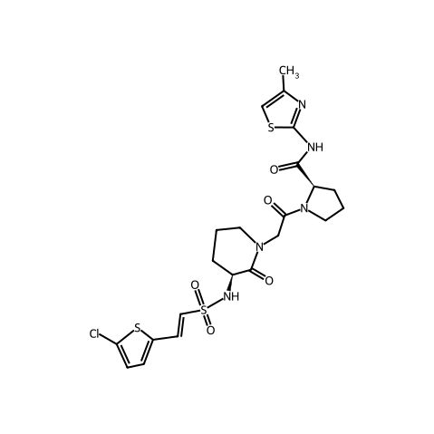 Cc1csc(NC(=O)[C@H]2CCCN2C(=O)CN2CCC[C@H](NS(=O)(=O)/C=C/c3ccc(Cl)s3)C2=O)n1